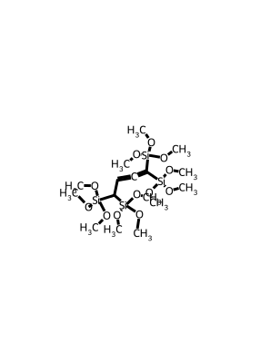 CO[Si](OC)(OC)C(=C=CC([Si](OC)(OC)OC)[Si](OC)(OC)OC)[Si](OC)(OC)OC